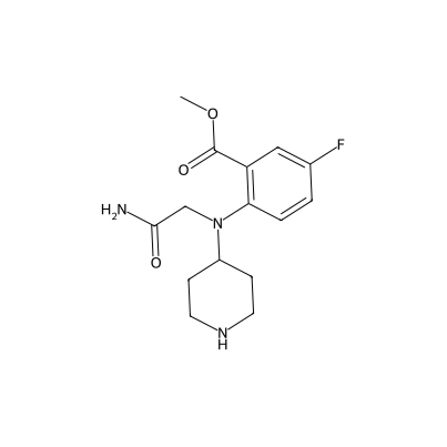 COC(=O)c1cc(F)ccc1N(CC(N)=O)C1CCNCC1